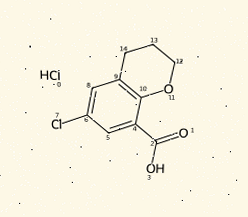 Cl.O=C(O)c1cc(Cl)cc2c1OCCC2